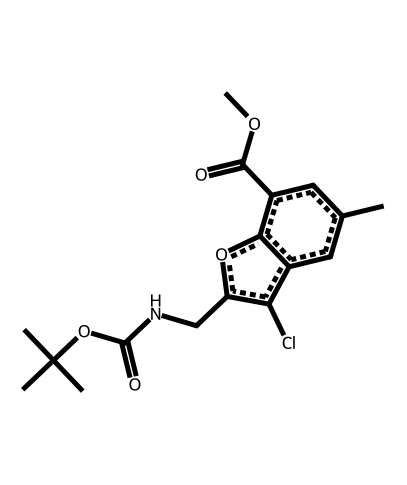 COC(=O)c1cc(C)cc2c(Cl)c(CNC(=O)OC(C)(C)C)oc12